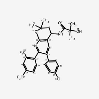 CC1(C)CC(NC(=O)C(C)(C)O)c2cc(-c3ccc(Cl)cc3)c(-c3ccc(C(F)(F)F)cc3C(F)(F)F)nc2O1